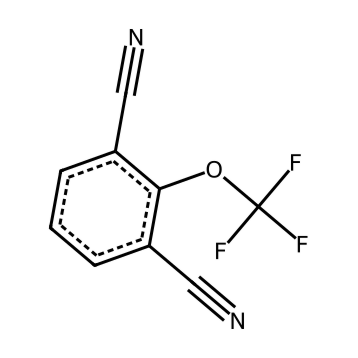 N#Cc1cccc(C#N)c1OC(F)(F)F